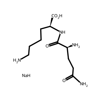 NCCCC[C@H](NC(=O)[C@@H](N)CCC(N)=O)C(=O)O.[NaH]